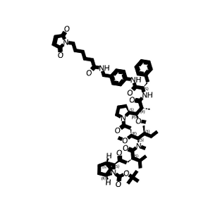 CC[C@H](C)[C@@H]([C@@H](CC(=O)N1CCC[C@H]1[C@H](OC)[C@@H](C)C(=O)N[C@@H](Cc1ccccc1)C(=O)Nc1ccc(CNC(=O)CCCCCN2C(=O)C=CC2=O)cc1)OC)N(C)C(=O)[C@@H](CC(=O)[C@@H]1[C@H]2CC[C@H](C2)N1C(=O)OC(C)(C)C)C(C)C